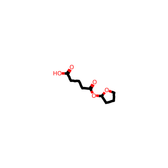 O=C(O)CCCC(=O)OC1CCCO1